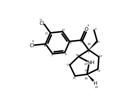 CC[C@@]1(C(=O)c2ccc(Cl)c(Cl)c2)CC[C@@H]2CCC1N2